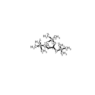 C[Si](C)(C)OCC(O[Si](C)(C)C)O[Si](C)(C)C